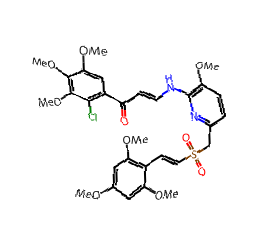 COc1cc(OC)c(C=CS(=O)(=O)Cc2ccc(OC)c(NC=CC(=O)c3cc(OC)c(OC)c(OC)c3Cl)n2)c(OC)c1